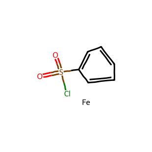 O=S(=O)(Cl)c1ccccc1.[Fe]